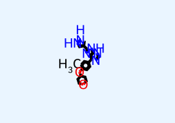 Cc1cc(-c2ncnc3[nH]c(C4=CNNC4)nc23)ccc1OC1CCOCC1